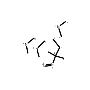 CCC(C)(C)[N]=[Ta].C[N-]C.C[N-]C.C[N-]C